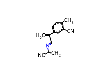 C=C(C#N)/N=C/C(=C)c1ccc(C)c(C#N)c1